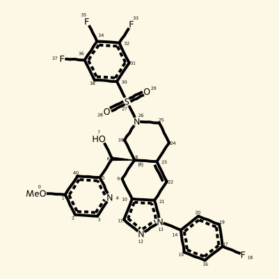 COc1ccnc(C(O)[C@]23Cc4cnn(-c5ccc(F)cc5)c4C=C2CCN(S(=O)(=O)c2cc(F)c(F)c(F)c2)C3)c1